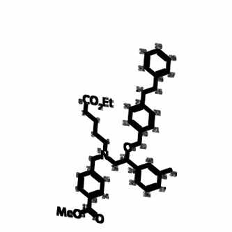 CCOC(=O)CCCCN(Cc1ccc(C(=O)OC)cc1)CC(OCc1ccc(CCc2ccccc2)cc1)c1cccc(C)c1